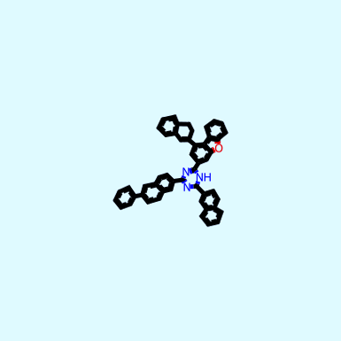 C1=C(c2cc(C3=NC(c4ccc5cc(-c6ccccc6)ccc5c4)=NC(c4ccc5ccccc5c4)N3)cc3oc4ccccc4c23)CCc2ccccc21